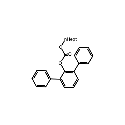 CCCCCCCOC(=O)Oc1c(-c2ccccc2)cccc1-c1ccccc1